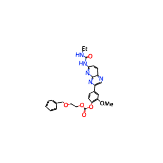 CCNC(=O)Nc1ccc2ncc(-c3ccc(OC(=O)OCCOCc4ccccc4)c(OC)c3)nc2n1